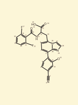 N#Cc1ccc(-c2ccc(CC(NC(=O)c3c(F)cccc3F)C(=O)O)n3ccnc23)c(Cl)c1